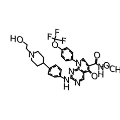 CONC(=O)c1cn(-c2ccc(OC(F)(F)F)cc2)c2nc(Nc3ccc(C4CCN(CCO)CC4)cc3)ncc2c1=O